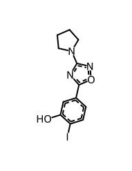 Oc1cc(-c2nc(N3CCCC3)no2)ccc1I